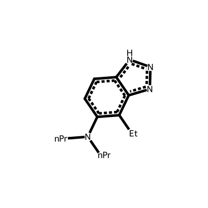 CCCN(CCC)c1ccc2[nH]nnc2c1CC